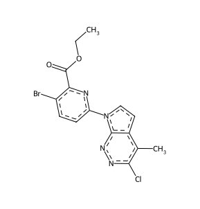 CCOC(=O)c1nc(-n2ccc3c(C)c(Cl)nnc32)ccc1Br